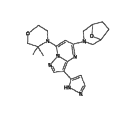 CC1(C)COCCN1c1cc(N2CC3CCC(C2)O3)nc2c(-c3ccn[nH]3)cnn12